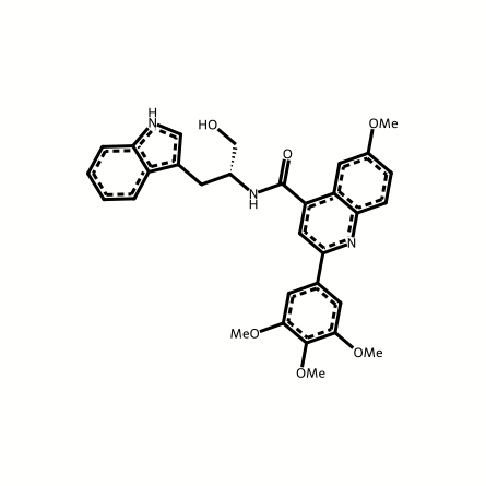 COc1ccc2nc(-c3cc(OC)c(OC)c(OC)c3)cc(C(=O)N[C@@H](CO)Cc3c[nH]c4ccccc34)c2c1